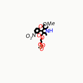 COC(=O)C1=C(C)NC(C)=C(C(=O)OCCOS(C)(=O)=O)C1c1cccc([N+](=O)[O-])c1